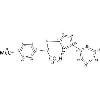 COc1ccc(C(Cc2ccc(-c3ccccc3)o2)C(=O)O)cc1